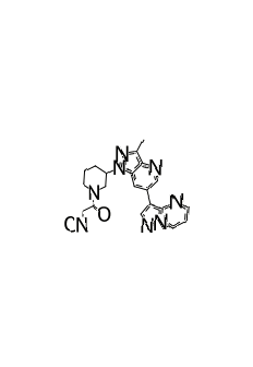 Cc1nn(C2CCCN(C(=O)CC#N)C2)c2cc(-c3cnn4cccnc34)cnc12